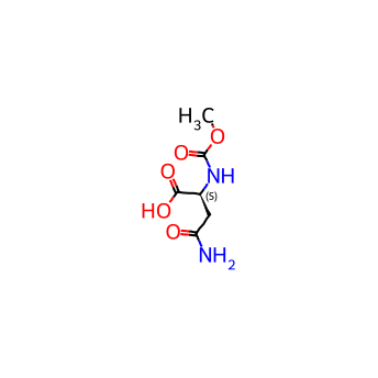 COC(=O)N[C@@H](CC(N)=O)C(=O)O